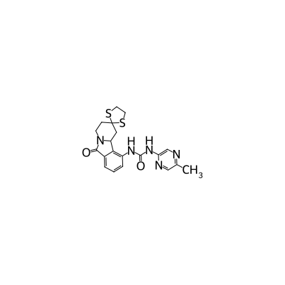 Cc1cnc(NC(=O)Nc2cccc3c2C2CC4(CCN2C3=O)SCCS4)cn1